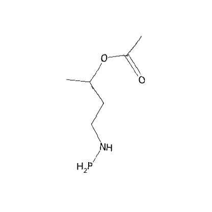 CC(=O)OC(C)CCNP